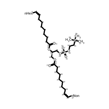 CCCCCC/C=C\CCCCCCCC(=O)O[C@H](COC(=O)CCCCCCC/C=C\CCCCCCCCC)COP(=O)([O-])OCC[N+](C)(C)C